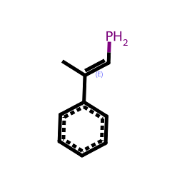 C/C(=C\P)c1ccccc1